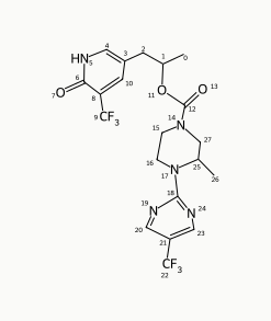 CC(Cc1c[nH]c(=O)c(C(F)(F)F)c1)OC(=O)N1CCN(c2ncc(C(F)(F)F)cn2)C(C)C1